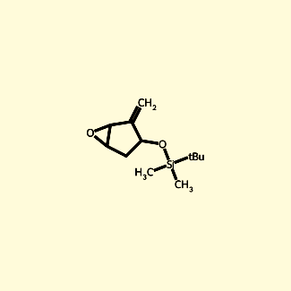 C=C1C(O[Si](C)(C)C(C)(C)C)CC2OC12